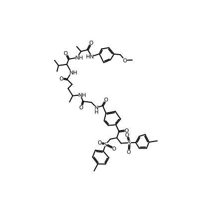 COCc1ccc(NC(=O)C(C)NC(=O)C(NC(=O)CCC(C)NC(=O)CNC(=O)c2ccc(C(=O)C(CS(=O)(=O)c3ccc(C)cc3)CS(=O)(=O)c3ccc(C)cc3)cc2)C(C)C)cc1